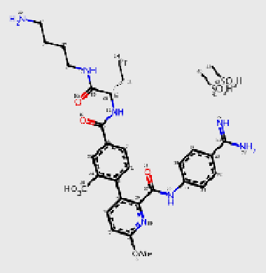 COc1ccc(-c2ccc(C(=O)N[C@@H](CC(C)C)C(=O)NCCCCN)cc2C(=O)O)c(C(=O)Nc2ccc(C(=N)N)cc2)n1.CS(=O)(=O)O.CS(=O)(=O)O